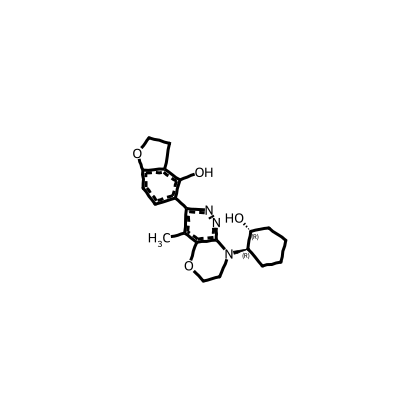 Cc1c(-c2ccc3c(c2O)CCO3)nnc2c1OCCN2[C@@H]1CCCC[C@H]1O